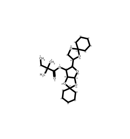 CCC(C)(C)C(=O)OC1C(C2COC3(CCCCC3)O2)OC2OC3(CCCCC3)OC21